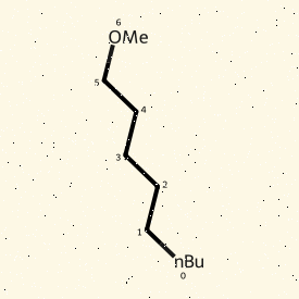 CCCCCC[CH]CCOC